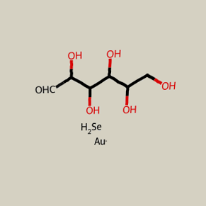 O=CC(O)C(O)C(O)C(O)CO.[Au].[SeH2]